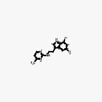 FC(F)(F)c1ccnc(NCCc2c[nH]c3c(I)cc(Cl)cc23)n1